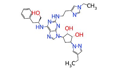 CCc1cnn([C@H]2C[C@@H](n3cnc4c(N[C@H](CO)Cc5ccccc5)nc(NCCc5cn(CC)cn5)nc43)[C@H](O)[C@@H]2O)c1